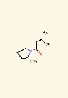 CC(CC(=O)N1CCC[C@H]1C(=O)O)C(=O)O